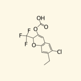 CCc1cc2c(cc1Cl)C=C(OC(=O)O)C(C(F)(F)F)O2